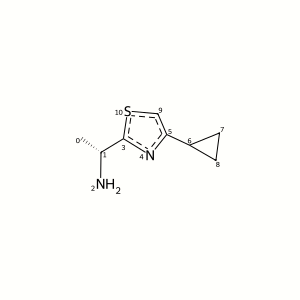 C[C@@H](N)c1nc(C2CC2)cs1